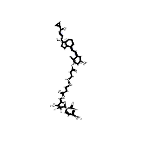 CC1/C(=C\C=C2/CCC[C@@]3(C)C2CCC3[C@@H](C)/C=C/C(O)C2CC2)C[C@@H](O)C[C@@H]1OC(=O)CCSSCCC(=O)OCC1OC(n2ccc(N)nc2=O)C(F)(F)C1O